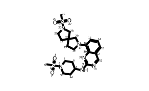 CS(=O)(=O)N1CCC(Nc2ncc3cccc(N4CCC5(CCN(S(C)(=O)=O)C5)C4)c3n2)CC1